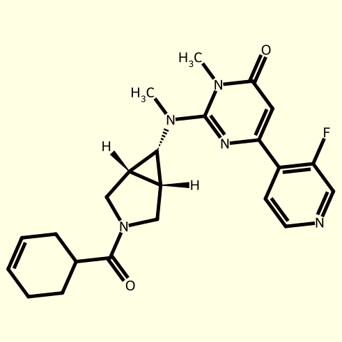 CN(c1nc(-c2ccncc2F)cc(=O)n1C)[C@@H]1[C@@H]2CN(C(=O)C3CC=CCC3)C[C@@H]21